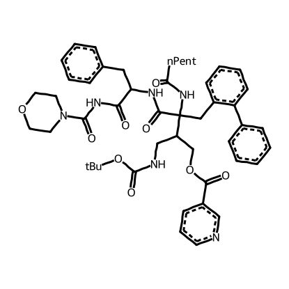 CCCCCC(=O)NC(Cc1ccccc1-c1ccccc1)(C(=O)NC(Cc1ccccc1)C(=O)NC(=O)N1CCOCC1)C(CNC(=O)OC(C)(C)C)COC(=O)c1cccnc1